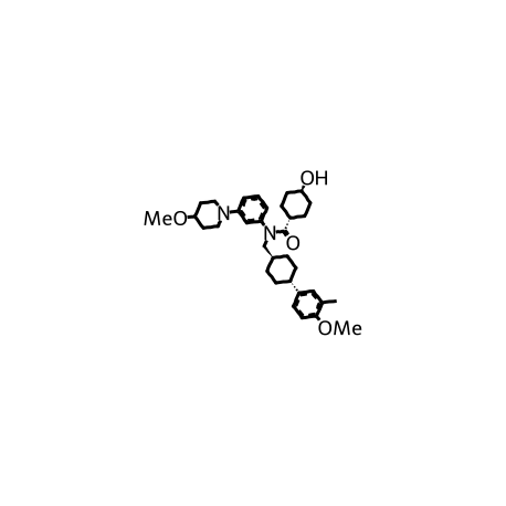 COc1ccc([C@H]2CC[C@H](CN(c3cccc(N4CCC(OC)CC4)c3)C(=O)[C@H]3CC[C@H](O)CC3)CC2)cc1C